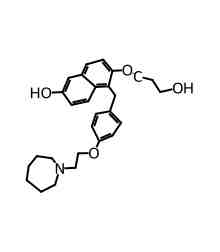 OCCCOc1ccc2cc(O)ccc2c1Cc1ccc(OCCN2CCCCCC2)cc1